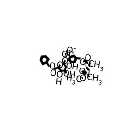 COC(=O)N(C)CCN(C)C(=O)OCc1ccc(OC2OC(C(=O)OCc3ccccc3)C(O)C(O)C2O)c([N+](=O)[O-])c1